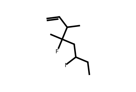 C=CC(C)C(C)(F)CC(I)CC